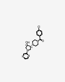 O=C(c1ccc(Cl)cc1)N1CCN([C@@H]2CN(c3cnccn3)C[C@H]2O)CC1